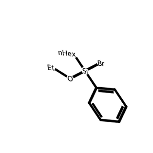 CCCCCC[Si](Br)(OCC)c1ccccc1